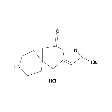 CC(C)(C)n1cc2c(n1)C(=O)CC1(CCNCC1)C2.Cl